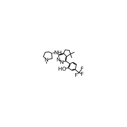 CN1CCC[C@@H](Nc2nnc(-c3ccc(C(F)(F)F)cc3O)c3c2CCC3(C)C)C1